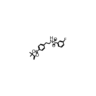 C=C1OB(c2ccc(CCNS(=O)(=O)c3cccc(F)c3)cc2)OC1(C)C